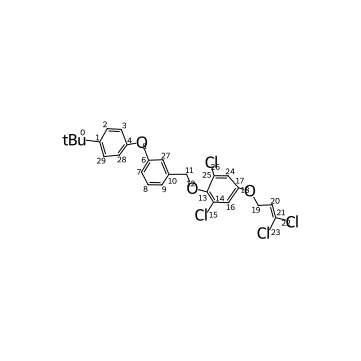 CC(C)(C)c1ccc(Oc2cccc(COc3c(Cl)cc(OCC=C(Cl)Cl)cc3Cl)c2)cc1